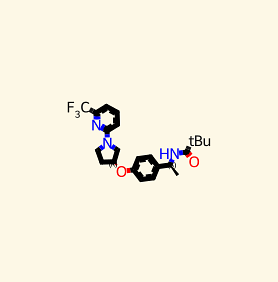 C[C@H](NC(=O)C(C)(C)C)c1ccc(O[C@@H]2CCN(c3cccc(C(F)(F)F)n3)C2)cc1